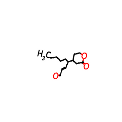 CCCCCC(/C=C/C=O)C1CCOC(=O)C1